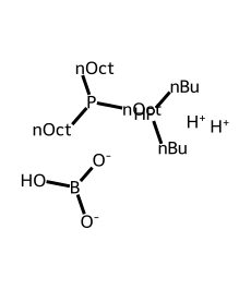 CCCCCCCCP(CCCCCCCC)CCCCCCCC.CCCCPCCCC.[H+].[H+].[O-]B([O-])O